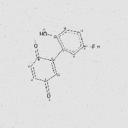 O=C1C=CC(=O)C(c2cc(F)ccc2O)=C1